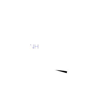 CN[C@H]1CCC[C@@]1(C)c1ccccc1